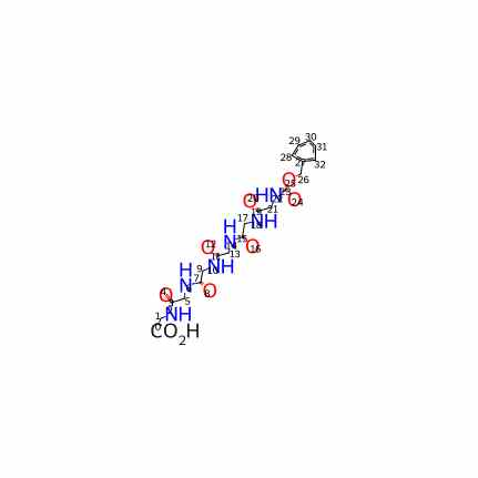 O=C(O)CNC(=O)CNC(=O)CNC(=O)CNC(=O)CNC(=O)CNC(=O)OCc1ccccc1